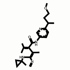 C=N/C(NC1(C)CC1)=C(\C)C(C(=O)Nc1ccc(C(C)CCOC)nc1)=C(C)C